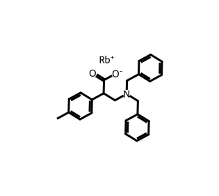 Cc1ccc(C(CN(Cc2ccccc2)Cc2ccccc2)C(=O)[O-])cc1.[Rb+]